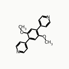 COc1cc(-c2ccncc2)c(OC)cc1-c1ccncc1